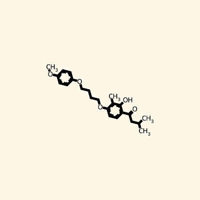 COc1ccc(OCCCCOc2ccc(C(=O)CC(C)C)c(O)c2C)cc1